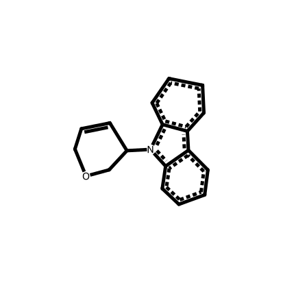 C1=CC(n2c3ccccc3c3ccccc32)COC1